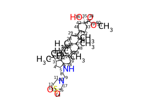 C=C(C)[C@@H]1CC[C@]2(NCCN3CCS(=O)(=O)CC3)CC[C@]3(C)[C@H](CCC4[C@@]5(C)CC=C(C6=CC[C@](CO)(C(=O)OCC)CC6)C(C)(C)C5CC[C@]43C)C12